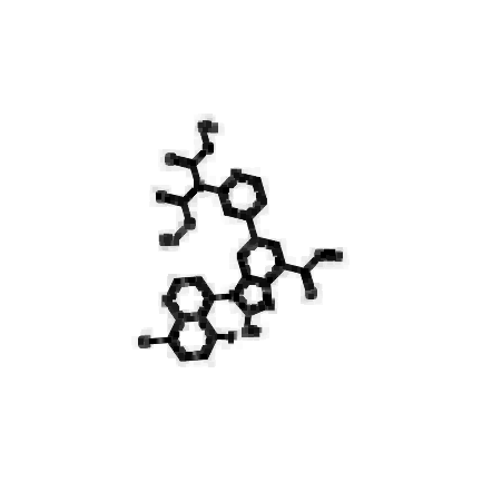 CCCc1nc2c(C(=O)OC)cc(-c3ccnc(N(C(=O)OC(C)(C)C)C(=O)OC(C)(C)C)c3)cc2n1-c1ccnc2c(Cl)ccc(F)c12